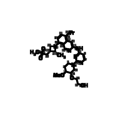 CO[C@H]1CCN(c2nccc(Nc3cc4c(C(C)C)ccc(N5C[C@H](CS(C)(=O)=O)[C@H]5C)c4cn3)n2)C[C@H]1OCCO